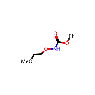 CCOC(=O)NOCCOC